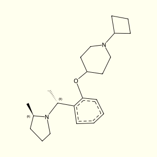 [CH2][C@H](c1ccccc1OC1CCN(C2CCC2)CC1)N1CCC[C@H]1C